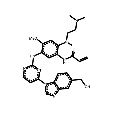 C=CC(=O)Nc1cc(Nc2nccc(-n3nnc4cc(CO)ccc43)n2)c(OC)cc1N(C)CCN(C)C